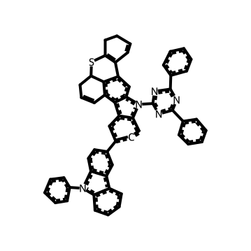 C1=CC2=C(CC1)SC1CC=Cc3c1c2cc1c3c2cc(-c3ccc4c(c3)c3ccccc3n4-c3ccccc3)ccc2n1-c1nc(-c2ccccc2)nc(-c2ccccc2)n1